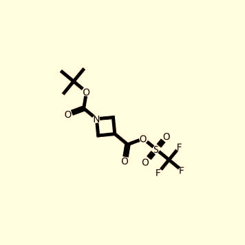 CC(C)(C)OC(=O)N1CC(C(=O)OS(=O)(=O)C(F)(F)F)C1